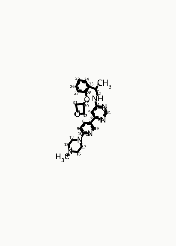 CC(CNc1cc(-c2ccc(N3CCN(C)CC3)nc2)ncn1)c1ccccc1OC1COC1